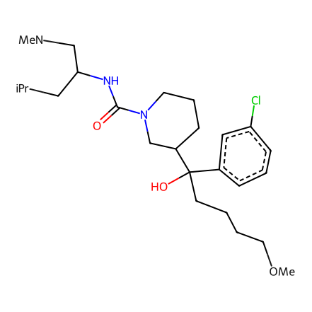 CNCC(CC(C)C)NC(=O)N1CCCC(C(O)(CCCCOC)c2cccc(Cl)c2)C1